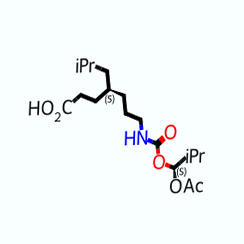 CC(=O)O[C@@H](OC(=O)NCCC[C@@H](CCC(=O)O)CC(C)C)C(C)C